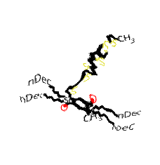 CCCCCCCCCCCCCCCC[Si]1(CCCCCCCCCCCCCCCC)C(=O)c2cc3c(cc2=C1C)C(=O)[Si](CCCCCCCCCCCCCCCC)(CCCCCCCCCCCCCCCC)C=3c1ccc(-c2cc3sc(/C=C/c4cc5c(s4)C=S(c4ccc(C)s4)C5)cc3s2)s1